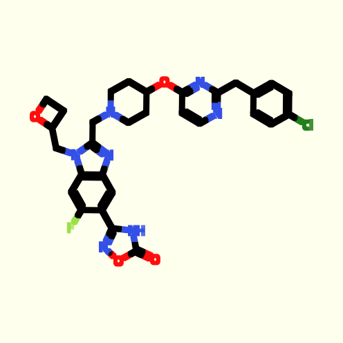 O=c1[nH]c(-c2cc3nc(CN4CCC(Oc5ccnc(Cc6ccc(Cl)cc6)n5)CC4)n(CC4CCO4)c3cc2F)no1